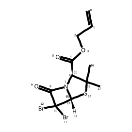 C=CCOC(=O)[C@@H]1N2C(=O)C(Br)(Br)[C@H]2SC1(C)C